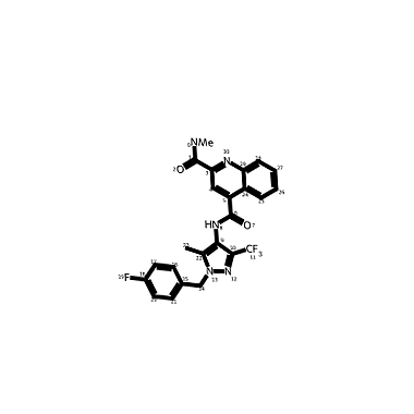 CNC(=O)c1cc(C(=O)Nc2c(C(F)(F)F)nn(Cc3ccc(F)cc3)c2C)c2ccccc2n1